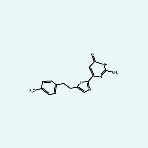 Cc1nc(-c2ncc(CCc3ccc(C(F)(F)F)cc3)s2)cc(=O)[nH]1